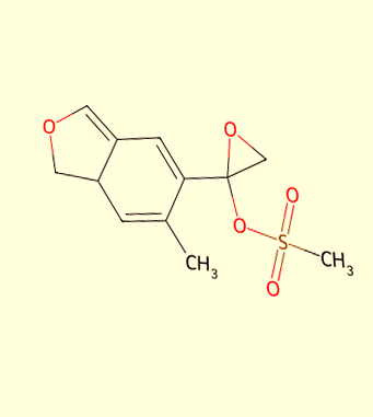 CC1=CC2COC=C2C=C1C1(OS(C)(=O)=O)CO1